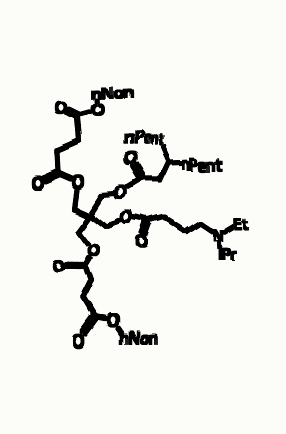 CCCCCCCCCOC(=O)CCC(=O)OCC(COC(=O)CCCN(CC)C(C)C)(COC(=O)CCC(=O)OCCCCCCCCC)COC(=O)CC(CCCCC)CCCCC